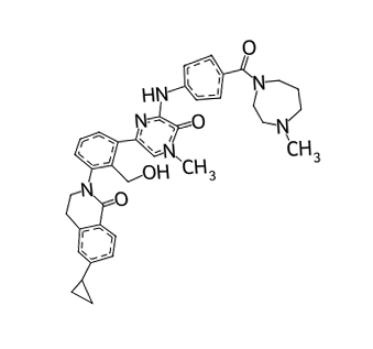 CN1CCCN(C(=O)c2ccc(Nc3nc(-c4cccc(N5CCc6cc(C7CC7)ccc6C5=O)c4CO)cn(C)c3=O)cc2)CC1